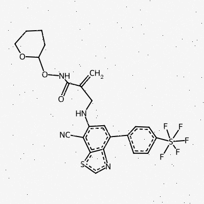 C=C(CNc1cc(-c2ccc(S(F)(F)(F)(F)F)cc2)c2ncsc2c1C#N)C(=O)NOC1CCCCO1